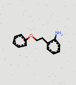 Nc1ccccc1CCOc1ccccc1